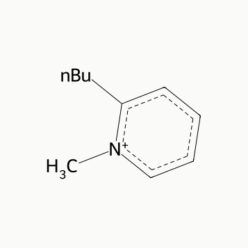 CCCCc1cccc[n+]1C